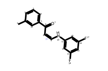 Cc1cccc(C(=O)/C=C\Nc2cc(F)cc(F)c2)c1